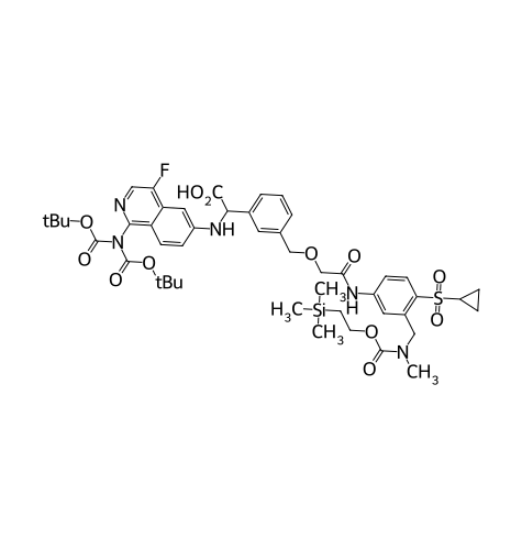 CN(Cc1cc(NC(=O)COCc2cccc(C(Nc3ccc4c(N(C(=O)OC(C)(C)C)C(=O)OC(C)(C)C)ncc(F)c4c3)C(=O)O)c2)ccc1S(=O)(=O)C1CC1)C(=O)OCC[Si](C)(C)C